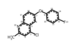 Cc1cc(Cl)c2cc(Oc3ccc(F)cc3)ccc2n1